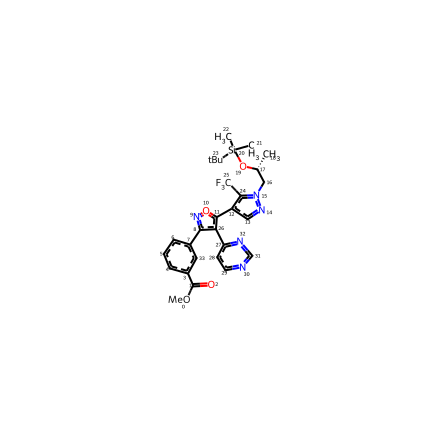 COC(=O)c1cccc(-c2noc(-c3cnn(C[C@@H](C)O[Si](C)(C)C(C)(C)C)c3C(F)(F)F)c2-c2ccncn2)c1